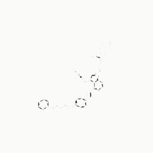 CCOC(=O)CCCn1cc(CC#N)c2c(/C=C/c3ccc(OCCCCc4ccccc4)cc3)cccc21